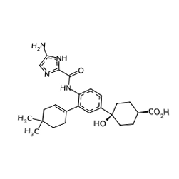 CC1(C)CC=C(c2cc([C@]3(O)CC[C@@H](C(=O)O)CC3)ccc2NC(=O)c2ncc(N)[nH]2)CC1